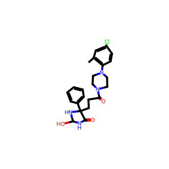 Cc1cc(Cl)ccc1N1CCN(C(=O)CCC2(c3ccccc3)NC(O)NC2=O)CC1